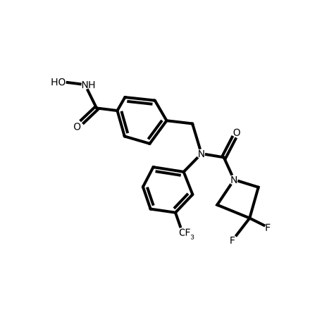 O=C(NO)c1ccc(CN(C(=O)N2CC(F)(F)C2)c2cccc(C(F)(F)F)c2)cc1